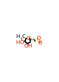 CC1O[C@H](CC[SH](=O)=O)C[C@H](O)[C@@H]1O